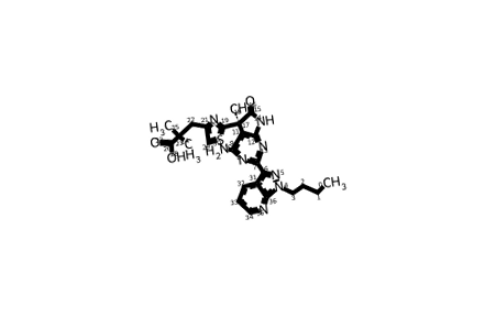 CCCCn1nc(-c2nc(N)c3c(n2)NC(=O)[C@]3(C)c2nc(CC(C)(C)C(=O)O)cs2)c2cccnc21